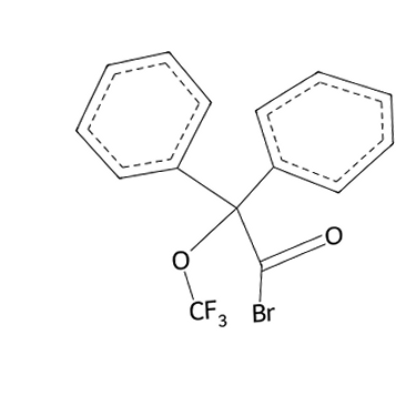 O=C(Br)C(OC(F)(F)F)(c1ccccc1)c1ccccc1